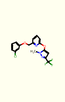 Cn1nc(C(F)(F)F)cc1Oc1cccc(COc2cccc(Cl)c2)n1